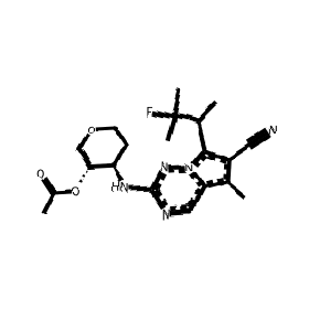 CC(=O)O[C@@H]1COCC[C@H]1Nc1ncc2c(C)c(C#N)c(C(C)C(C)(C)F)n2n1